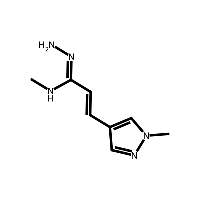 CNC(/C=C/c1cnn(C)c1)=N\N